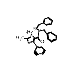 [CH2][C@H](Cc1ccccc1)N(Cc1ccccc1)C(=O)c1nc(C)sc1-c1ccccc1